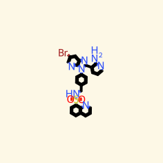 Nc1ncccc1-c1nc2cc(Br)cnc2n1-c1ccc(CNS(=O)(=O)c2cccc3cccnc23)cc1